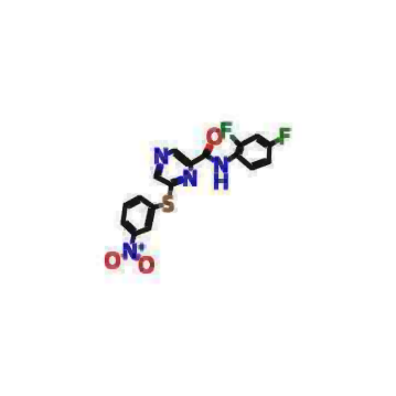 O=C(Nc1ccc(F)cc1F)c1cncc(Sc2cccc([N+](=O)[O-])c2)n1